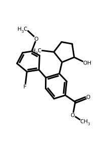 COC(=O)c1ccc(-c2cc(OC)ccc2F)c(C2C(C)CCC2O)c1